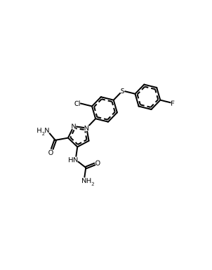 NC(=O)Nc1cn(-c2ccc(Sc3ccc(F)cc3)cc2Cl)nc1C(N)=O